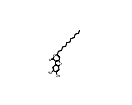 CCCCCCCCCCCc1cc2oc3cc(O)c(O)cc3c2c(=O)o1